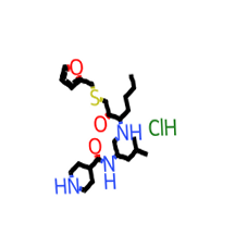 CCCCC(NCC(CC(C)C)NC(=O)C1CCNCC1)C(=O)CSCc1ccco1.Cl